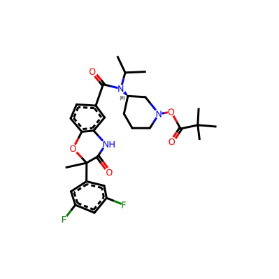 CC(C)N(C(=O)c1ccc2c(c1)NC(=O)C(C)(c1cc(F)cc(F)c1)O2)[C@@H]1CCCN(OC(=O)C(C)(C)C)C1